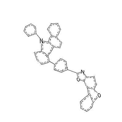 c1ccc(-n2c3cccc(-c4ccc(-c5nc6ccc7oc8ccccc8c7c6o5)cc4)c3c3ccc4ccccc4c32)cc1